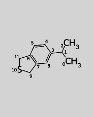 CC(C)c1ccc2c(c1)CSC2